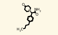 CCCCc1ccc(C(C(N)=O)N2CCC(=O)CC2)cc1